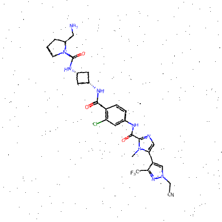 Cn1c(-c2cn(CC#N)nc2C(F)(F)F)cnc1C(=O)Nc1ccc(C(=O)N[C@H]2C[C@@H](NC(=O)N3CCCC3CN)C2)c(Cl)c1